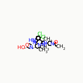 C=CC(=O)N1CCC(n2nc(N3CC[C@@H](CN4CCO[C@@H](CO)C4)CC3(C)C)c(-c3c(Cl)c(Cl)cc4[nH]ncc34)c2C)CC1